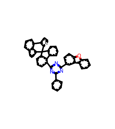 c1ccc(-c2nc(-c3ccc4oc5ccccc5c4c3)nc(-c3cccc4c3-c3ccccc3C43c4ccccc4-c4cccc5cccc3c45)n2)cc1